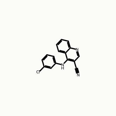 N#Cc1cnc2ccccc2c1Nc1cccc(Cl)c1